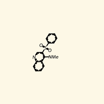 CNc1c(S(=O)(=O)c2ccccc2)cnc2ccccc12